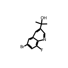 CC(C)(O)c1cnc2c(F)cc(Br)cc2c1